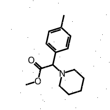 COC(=O)C(c1ccc(C)cc1)N1CCCCC1